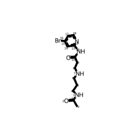 CC(=O)NCCCNCCC(=O)Nc1cc(Br)ccn1